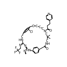 C=N/C1=N\C(=N/CC(F)(F)F)NCc2ccc(c(Cl)c2)OCCCN(C(=O)CCc2ccncc2)CC(C)(C)CNC(=O)c2ccc(cc2)N1